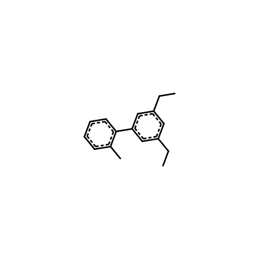 CCc1cc(CC)cc(-c2ccccc2C)c1